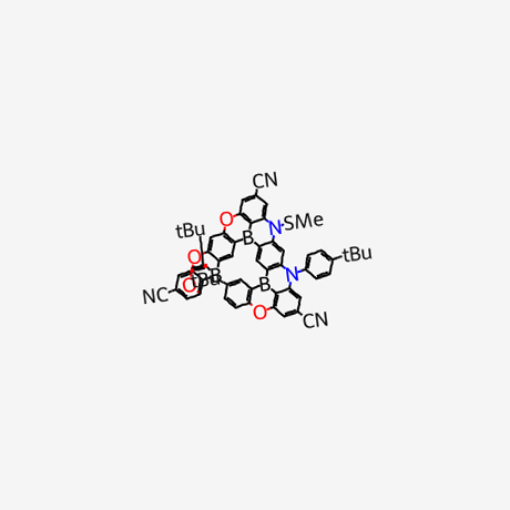 CSN1c2cc3c(cc2B2c4cc5c(cc4Oc4cc(C#N)cc1c42)Oc1cc(C#N)cc2c1B5c1cc(C(C)(C)C)ccc1O2)B1c2cc(C(C)(C)C)ccc2Oc2cc(C#N)cc(c21)N3c1ccc(C(C)(C)C)cc1